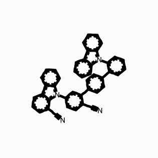 N#Cc1ccc(-n2c3ccccc3c3cccc(C#N)c32)cc1-c1ccc(-c2ccccc2-n2c3ccccc3c3ccccc32)cc1